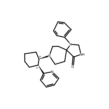 O=C1NCN(c2ccccc2)C12CCN([C@@H]1CCCC[C@@H]1c1ccccn1)CC2